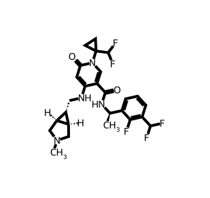 C[C@@H](NC(=O)c1cn(C2(C(F)F)CC2)c(=O)cc1NC[C@@H]1[C@H]2CN(C)C[C@@H]12)c1cccc(C(F)F)c1F